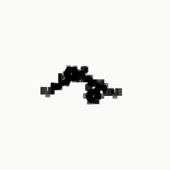 NN=CNCc1cccc(C(=O)NCC(=O)NC(CC(=O)O)c2cccnc2)c1